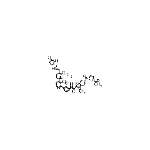 COc1nc(-c2ccnc(-c3cccc(NC(=O)c4nc5c(n4C)CCN(C(=O)[C@@H]4CCN(C(C)=O)C4)C5)c3Cl)c2Cl)ccc1CNC[C@@H]1CCC(=O)N1